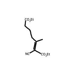 CCOC(=O)CCC/C(C)=C(\C#N)C(=O)OCC